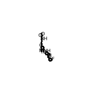 CS(=O)(=O)CCNCCCCOc1ccc2c(Nc3ccc4c(cnn4Cc4cccc(F)c4)c3)ncnc2c1